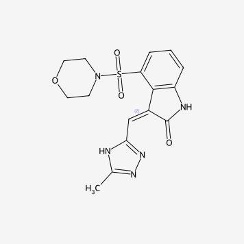 Cc1nnc(/C=C2\C(=O)Nc3cccc(S(=O)(=O)N4CCOCC4)c32)[nH]1